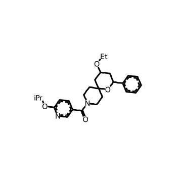 CCOC1CC(c2ccccc2)OC2(CCN(C(=O)c3ccc(OC(C)C)nc3)CC2)C1